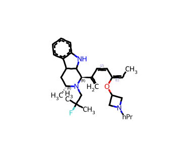 C=C(/C=C\C(=C/C)OC1CN(CCC)C1)[C@@H]1C2Nc3ccccc3C2C[C@@H](C)N1CC(C)(C)F